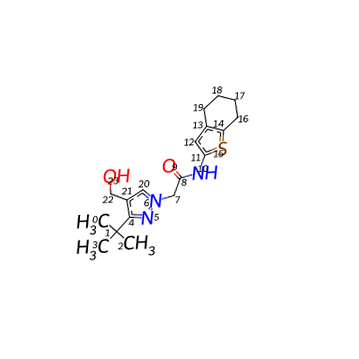 CC(C)(C)c1nn(CC(=O)Nc2cc3c(s2)CCCC3)cc1CO